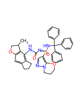 CC1COc2cc3c(c(NC(=O)N=S(=O)(NC(c4ccccc4)(c4ccccc4)c4ccccc4)c4cnn5c4OCCC5)c21)CCC3